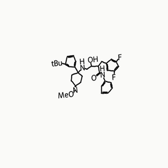 CON=C1CCC(NCC(O)C(Cc2cc(F)cc(F)c2)C(=O)Nc2ccccc2)(c2cccc(C(C)(C)C)c2)CC1